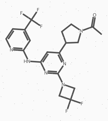 CC(=O)N1CCC(c2cc(Nc3cc(C(F)(F)F)ccn3)nc(N3CC(F)(F)C3)n2)C1